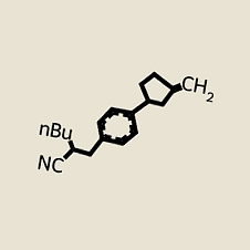 C=C1CCC(c2ccc(CC(C#N)CCCC)cc2)C1